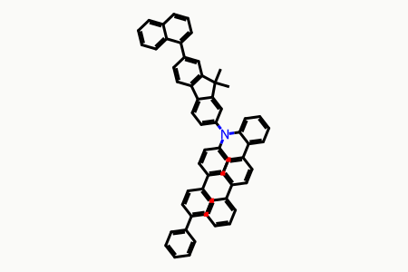 CC1(C)c2cc(-c3cccc4ccccc34)ccc2-c2ccc(N(c3ccc(-c4ccc(-c5ccccc5)cc4)cc3)c3ccccc3-c3ccc(-c4ccccc4)cc3)cc21